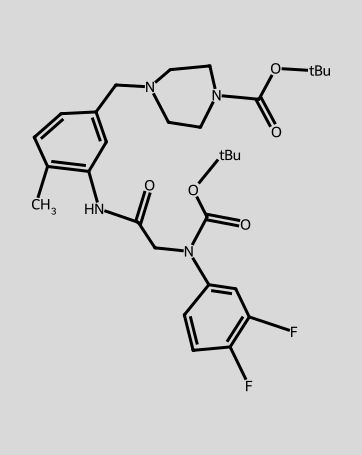 Cc1ccc(CN2CCN(C(=O)OC(C)(C)C)CC2)cc1NC(=O)CN(C(=O)OC(C)(C)C)c1ccc(F)c(F)c1